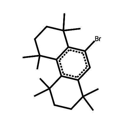 CC1(C)CCC(C)(C)c2c1cc(Br)c1c2C(C)(C)CCC1(C)C